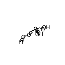 Cc1c(CCCC(=O)O)c2cccc(C=Cc3ccc(OCC=CCOc4ccc(F)c(F)c4)cc3)c2n1CC(=O)O